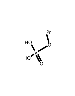 CC(C)[O][V](=[O])([OH])[OH]